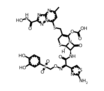 Cc1cc(SCC2=C(OC(=O)O)N3C(=O)[C@@H](NC(=O)/C(=N\OCS(=O)(=O)c4ccc(O)c(O)c4)c4csc(N)n4)[C@H]3SC2)n2nc(C(=O)NO)nc2n1